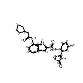 O=C(CC1CCCC1)Nc1cccc2cc(C(=O)Nc3ccc(Br)cc3-c3noc(=O)[nH]3)[nH]c12